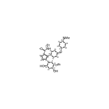 CCNC(=O)c1nnc(-c2cc(C(C)C)c(O)cc2O)n1-c1ccc(Oc2ccc(NC)cc2)cc1